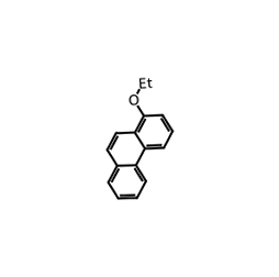 CCOc1cccc2c1ccc1ccccc12